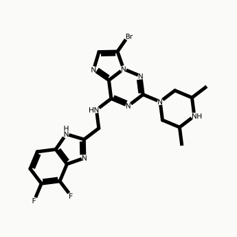 CC1CN(c2nc(NCc3nc4c(F)c(F)ccc4[nH]3)c3ncc(Br)n3n2)CC(C)N1